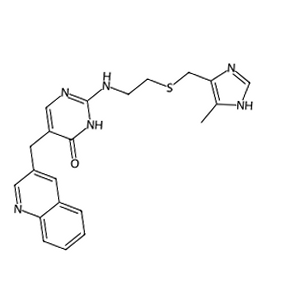 Cc1[nH]cnc1CSCCNc1ncc(Cc2cnc3ccccc3c2)c(=O)[nH]1